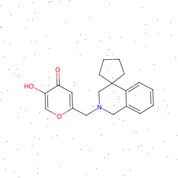 O=c1cc(CN2Cc3ccccc3C3(CCCC3)C2)occ1O